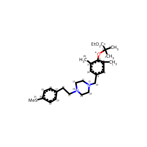 CCOC(=O)C(C)(C)Oc1c(C)cc(CN2CCN(CCc3ccc(SC)cc3)CC2)cc1C